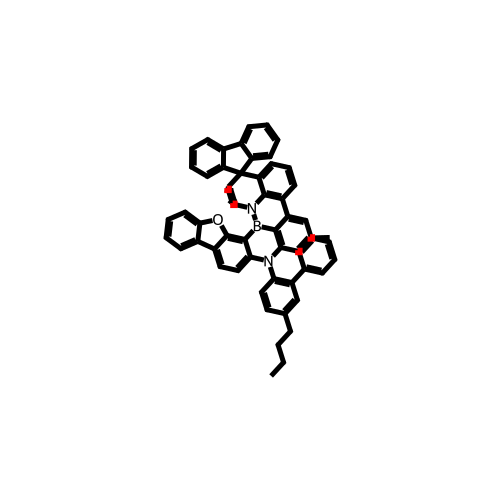 CCCCc1ccc(N2c3cc(C)cc4c3B(c3c2ccc2c3oc3ccccc32)N2c3ccccc3C3(c5ccccc5-c5ccccc53)c3cccc-4c32)c(-c2ccccc2)c1